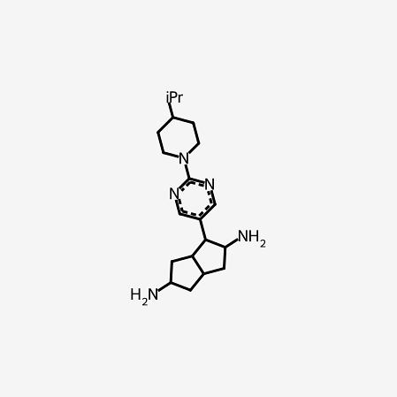 CC(C)C1CCN(c2ncc(C3C(N)CC4CC(N)CC43)cn2)CC1